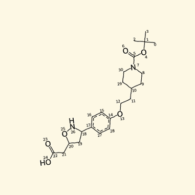 CC(C)(C)OC(=O)N1CCC(CCOc2ccc(C3CC(CC(=O)O)ON3)cc2)CC1